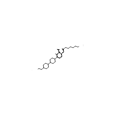 CCCCCCCc1cc2ccc(C3CCC(C4CCC(CCC)CC4)CC3)c(F)c2c(=O)o1